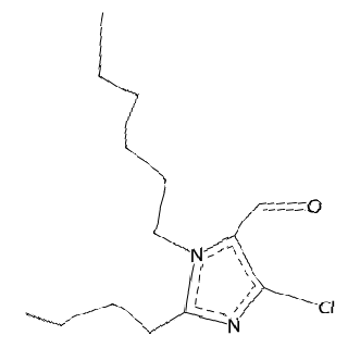 CCCCCCn1c(CCCC)nc(Cl)c1C=O